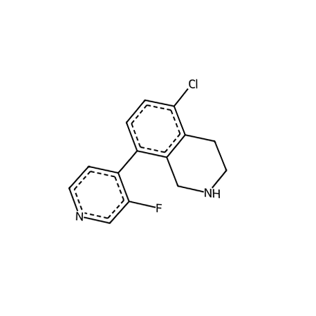 Fc1cnccc1-c1ccc(Cl)c2c1CNCC2